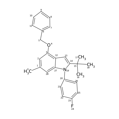 Cc1cc(OCc2ccccc2)c2cc(C(C)(C)C)n(-c3ccc(F)cc3)c2c1